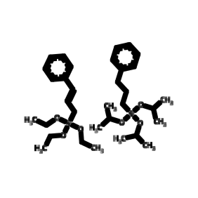 CC(C)O[Si](CCCc1ccccc1)(OC(C)C)OC(C)C.CCO[Si](CC=Cc1ccccc1)(OCC)OCC